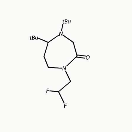 CC(C)(C)C1CCN(CC(F)F)C(=O)CN1C(C)(C)C